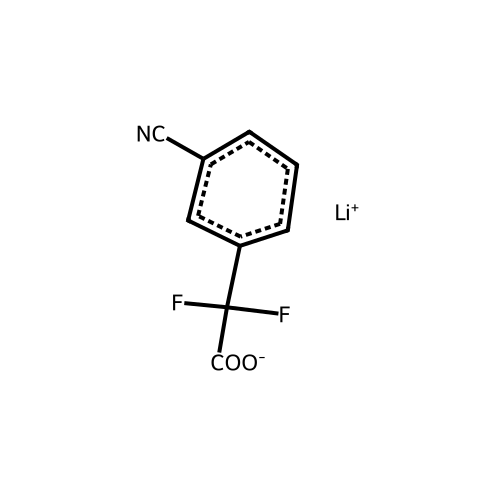 N#Cc1cccc(C(F)(F)C(=O)[O-])c1.[Li+]